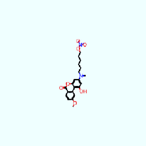 COc1ccc2c(=O)oc3cc(N(C)CCCCCCO[N+](=O)[O-])cc(O)c3c2c1